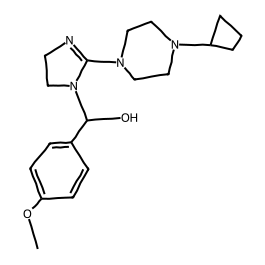 COc1ccc(C(O)N2CCN=C2N2CCN(C3CCC3)CC2)cc1